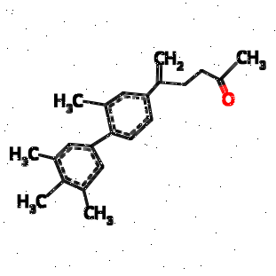 C=C(CCC(C)=O)c1ccc(-c2cc(C)c(C)c(C)c2)c(C)c1